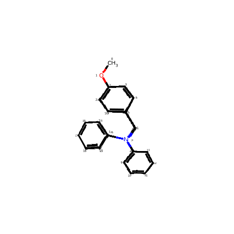 COc1ccc(CN(c2ccccc2)c2ccccc2)cc1